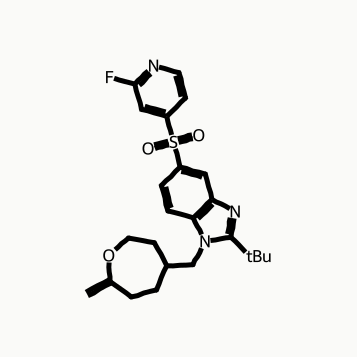 C=C1CCC(Cn2c(C(C)(C)C)nc3cc(S(=O)(=O)c4ccnc(F)c4)ccc32)CCO1